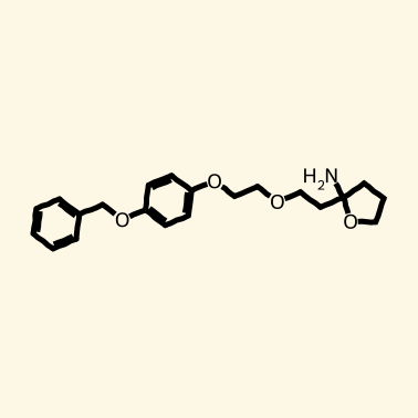 NC1(CCOCCOc2ccc(OCc3ccccc3)cc2)CCCO1